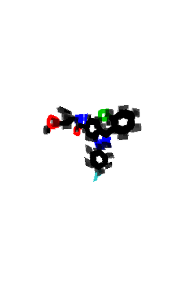 COC[C@H](C)NC(=O)c1ccc2c(-c3ccccc3Cl)nn(-c3ccc(F)cc3)c2c1